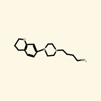 NCCCCN1CCN(c2ccc3c(c2)OCCC3)CC1